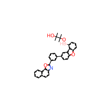 CC(C)(O)C(C)(C)OBc1cccc2oc3ccc(-c4cccc(-c5nc6ccc7ccccc7c6o5)c4)cc3c12